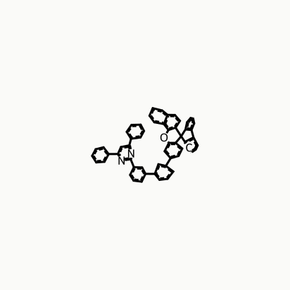 c1ccc(-c2cc(-c3ccccc3)nc(-c3cccc(-c4cccc(-c5ccc6c(c5)Oc5c(ccc7ccccc57)C65c6ccccc6-c6ccccc65)c4)c3)n2)cc1